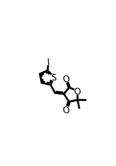 CC1(C)OC(=O)C(=Cc2ccc(I)s2)C1=O